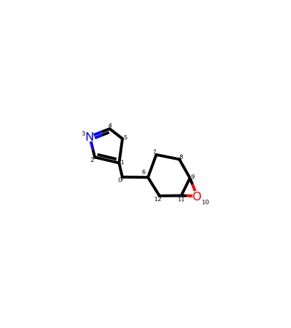 [CH](C1=CN=CC1)C1CCC2OC2C1